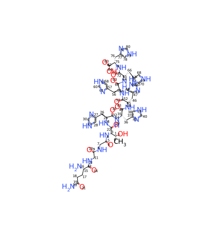 C[C@@H](O)[C@H](NC(=O)CNC(=O)CNC(=O)[C@@H](N)CCC(N)=O)C(=O)N[C@@H](Cc1c[nH]cn1)C(=O)N[C@@H](Cc1c[nH]cn1)C(=O)N[C@@H](Cc1c[nH]cn1)C(=O)N[C@@H](Cc1c[nH]cn1)C(=O)N[C@@H](Cc1c[nH]cn1)C(=O)N[C@@H](Cc1c[nH]cn1)C(=O)O